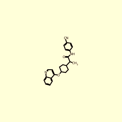 CC(C(=O)Nc1ccc(C#N)cc1)C1CCC(Oc2ccnc3ccccc23)CC1